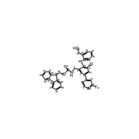 O=C(NCc1cc(-c2ccnc(F)c2)cc(Cl)c1Sc1ncccc1CO)OCC1c2ccccc2-c2ccccc21